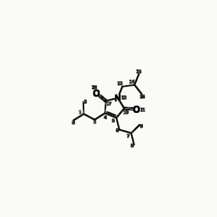 CC(C)CC1=C(CC(C)C)C(=O)N(CC(C)C)C1=O